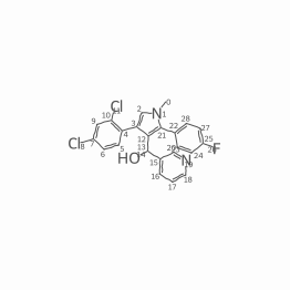 Cn1cc(-c2ccc(Cl)cc2Cl)c(C(O)c2cccnc2)c1-c1ccc(F)cc1